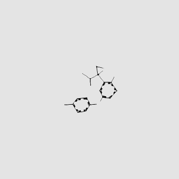 CC(C)C1(c2cc(Oc3ccc(Cl)cc3)ccc2Cl)CO1